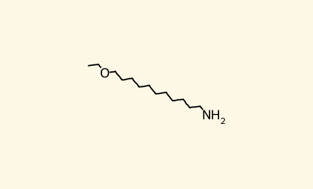 CCOCCCCCCCCCCCN